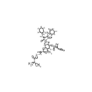 C=C(C)C(=O)OCCNC(=O)Oc1c(C)cc(OC(=O)NCCCC)c2c1SC(C1C(=O)N(Cc3ccccc3)N(Cc3ccccc3)C1=O)S2